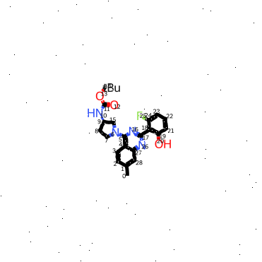 Cc1ccc2c(N3CC[C@@H](NC(=O)OC(C)(C)C)C3)nc(-c3c(O)cccc3F)nc2c1